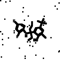 CCCC(CC)(Pc1ccc(F)cc1F)c1cc(C(C)(C)C)cc(C)c1O